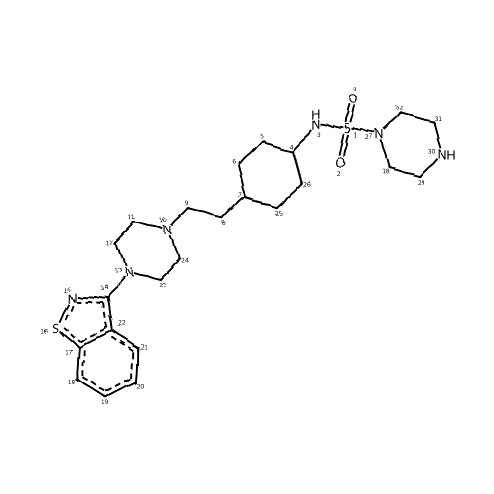 O=S(=O)(NC1CCC(CCN2CCN(c3nsc4ccccc34)CC2)CC1)N1CCNCC1